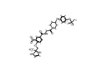 CC1(COc2ccc(C(=O)NCC(=O)N3CCC(Oc4ccc(OC(F)(F)F)cc4)CC3)cc2[N+](=O)[O-])NC=CN1